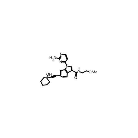 COCCNC(=O)c1cn(-c2ccnc(N)n2)c2cc(C#CC3(O)CCCCC3)ccc12